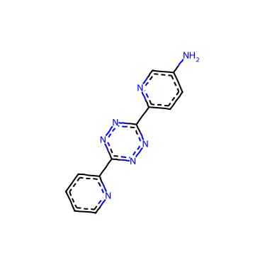 Nc1ccc(-c2nnc(-c3ccccn3)nn2)nc1